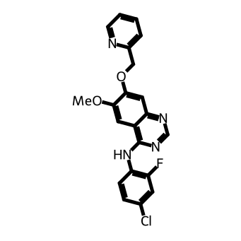 COc1cc2c(Nc3ccc(Cl)cc3F)ncnc2cc1OCc1ccccn1